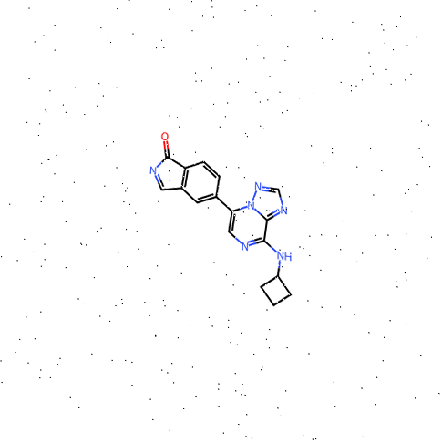 O=C1N=Cc2cc(-c3cnc(NC4CCC4)c4ncnn34)ccc21